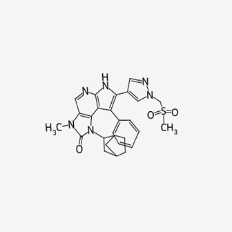 Cn1c(=O)n(C2CC3CCC2C3)c2c3c(-c4ccccc4)c(-c4cnn(CS(C)(=O)=O)c4)[nH]c3ncc21